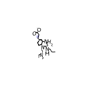 CCCNC(=S)N(CCN(CC)CC)c1ccc(/C=C/C(=O)OC)cc1N